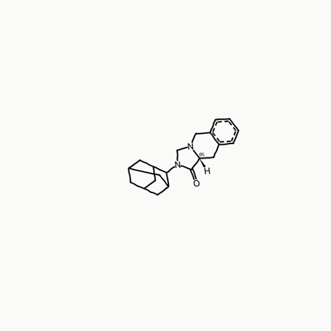 O=C1[C@H]2Cc3ccccc3CN2CN1C1C2CC3CC(C2)CC1C3